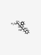 CCC(C)CCN(NC(=O)C(O)C(N)CC1CCCCC1)c1ccccc1